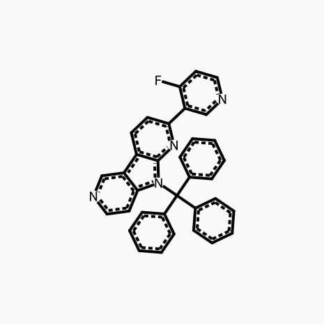 Fc1ccncc1-c1ccc2c3cnccc3n(C(c3ccccc3)(c3ccccc3)c3ccccc3)c2n1